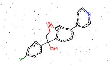 OCC(O)(c1ccc(F)cc1)c1ccc(-c2ccncc2)cc1